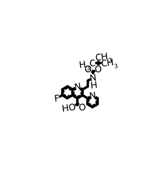 CC(C)(C)OC(=O)NCCc1nc2ccc(F)cc2c(C(=O)O)c1-c1ccccn1